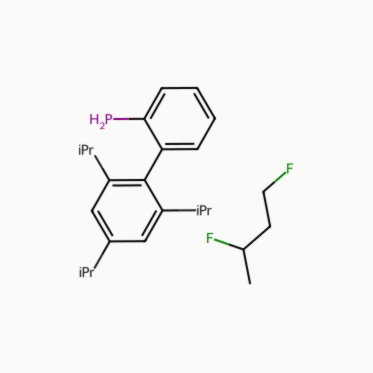 CC(C)c1cc(C(C)C)c(-c2ccccc2P)c(C(C)C)c1.CC(F)CCF